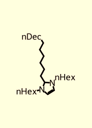 CCCCCCCCCCCCCCCCC1N(CCCCCC)C=CN1CCCCCC